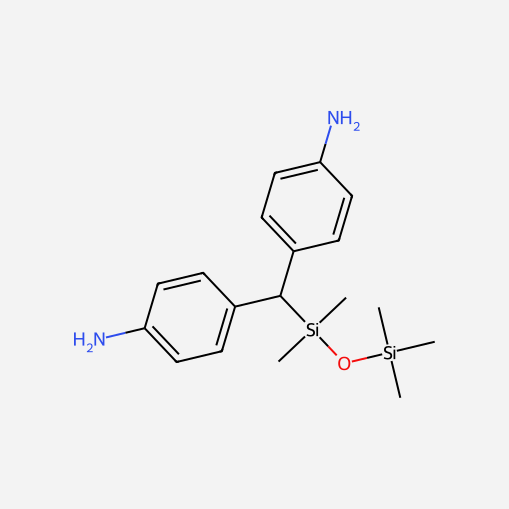 C[Si](C)(C)O[Si](C)(C)C(c1ccc(N)cc1)c1ccc(N)cc1